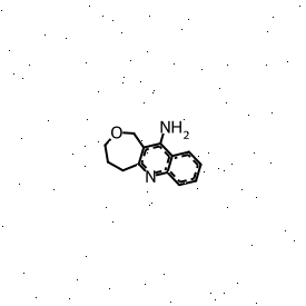 Nc1c2c(nc3ccccc13)CCCOC2